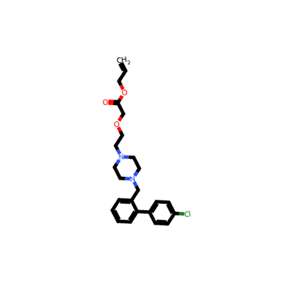 C=CCOC(=O)COCCN1CCN(Cc2ccccc2-c2ccc(Cl)cc2)CC1